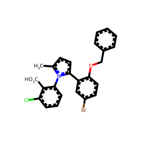 Cc1ccc(-c2cc(Br)ccc2OCc2ccccc2)n1-c1cccc(Cl)c1C(=O)O